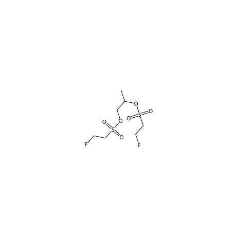 CC(COS(=O)(=O)CCF)OS(=O)(=O)CCF